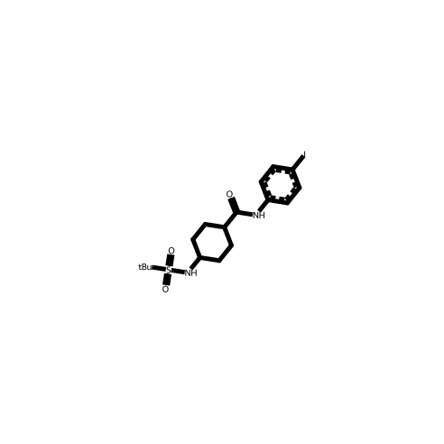 CC(C)(C)S(=O)(=O)NC1CCC(C(=O)Nc2ccc(I)cc2)CC1